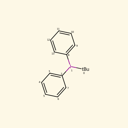 CC(C)(C)I(c1ccccc1)c1ccccc1